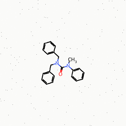 CN(C(=O)N(Cc1ccccc1)Cc1ccccc1)c1ccccc1